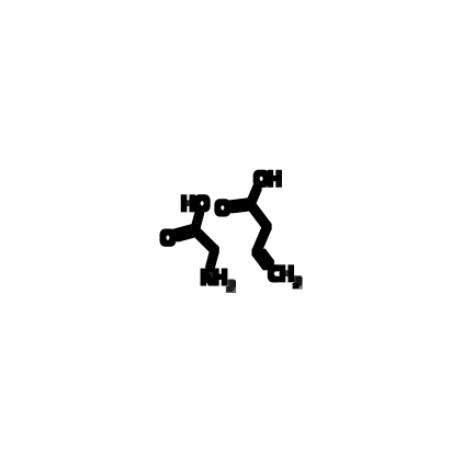 C=CCC(=O)O.NCC(=O)O